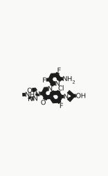 CN/N=N\N(C=O)c1cn(-c2nc(N)c(F)cc2F)c2c(Cl)c(N3CC(O)C3)c(F)cc2c1=O